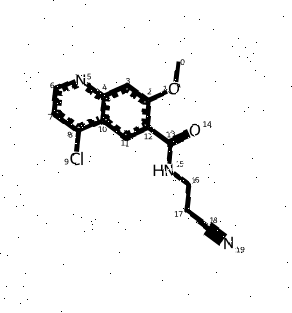 COc1cc2nccc(Cl)c2cc1C(=O)NCCC#N